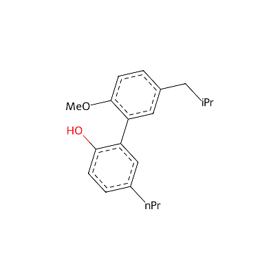 CCCc1ccc(O)c(-c2cc(CC(C)C)ccc2OC)c1